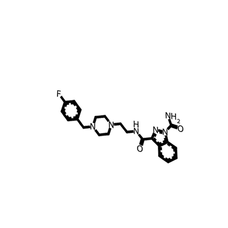 NC(=O)n1nc(C(=O)NCCN2CCN(Cc3ccc(F)cc3)CC2)c2ccccc21